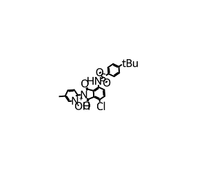 Cc1ccc(N2C(=O)c3c(Cl)ccc(NS(=O)(=O)c4ccc(C(C)(C)C)cc4)c3C2=O)[n+](O)c1